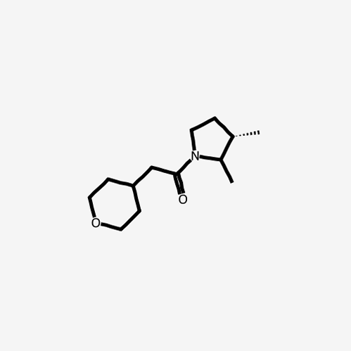 CC1[C@@H](C)CCN1C(=O)CC1CCOCC1